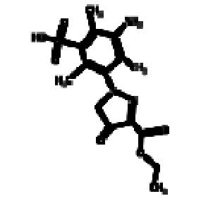 CCOC(=O)C1=NN(c2c(C)c(N)c(C)c(S(=O)(=O)O)c2C)CC1=O